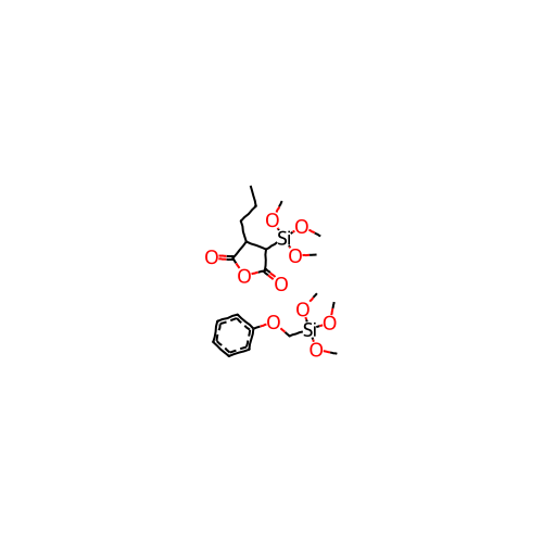 CCCC1C(=O)OC(=O)C1[Si](OC)(OC)OC.CO[Si](COc1ccccc1)(OC)OC